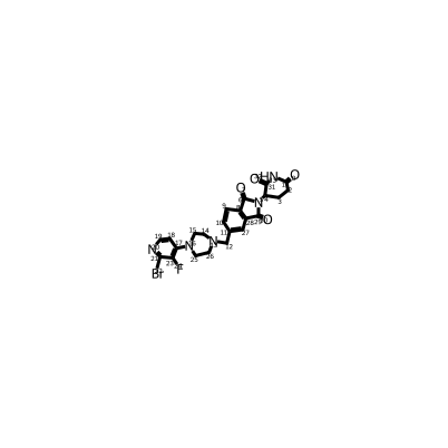 O=C1CCC(N2C(=O)c3ccc(CN4CCN(c5ccnc(Br)c5F)CC4)cc3C2=O)C(=O)N1